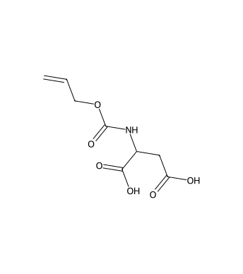 C=CCOC(=O)NC(CC(=O)O)C(=O)O